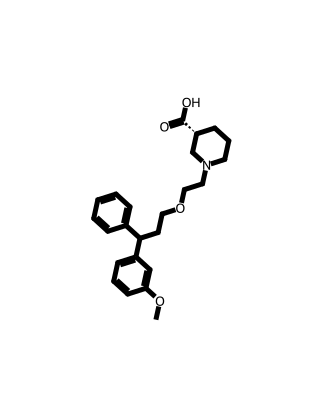 COc1cccc(C(CCOCCN2CCC[C@@H](C(=O)O)C2)c2ccccc2)c1